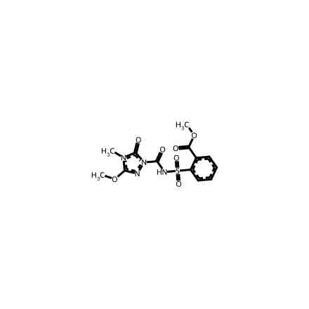 COC(=O)c1ccccc1S(=O)(=O)NC(=O)n1nc(OC)n(C)c1=O